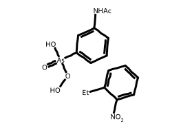 CC(=O)Nc1cccc([As](=O)(O)OO)c1.CCc1ccccc1[N+](=O)[O-]